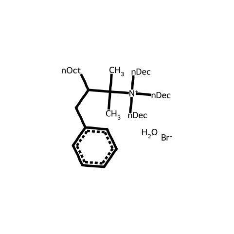 CCCCCCCCCC[N+](CCCCCCCCCC)(CCCCCCCCCC)C(C)(C)C(CCCCCCCC)Cc1ccccc1.O.[Br-]